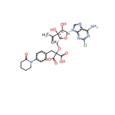 C=C(C)[C@@]1(O)[C@@H](COC(Cc2ccc(N3CCCCC3=O)cc2)(C(=O)O)C(=O)O)O[C@@H](n2cnc3c(N)nc(Cl)nc32)[C@@H]1O